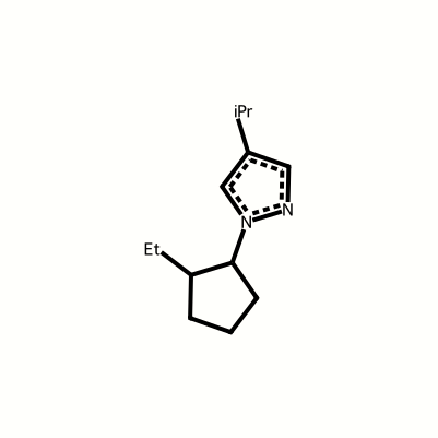 CCC1CCCC1n1cc(C(C)C)cn1